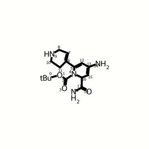 CC(C)(C)OC(=O)N1C(C2=CCNCC2)=CC(N)=CC1C(N)=O